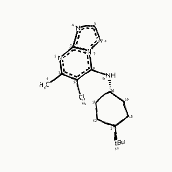 Cc1nc2ncnn2c(N[C@H]2CC[C@H](C(C)(C)C)CC2)c1Cl